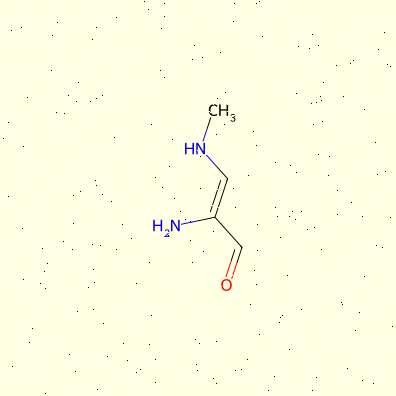 CN/C=C(\N)C=O